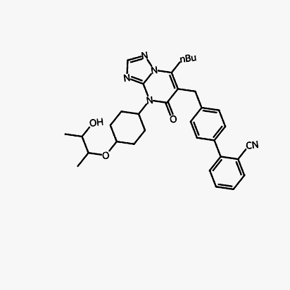 CCCCc1c(Cc2ccc(-c3ccccc3C#N)cc2)c(=O)n(C2CCC(OC(C)C(C)O)CC2)c2ncnn12